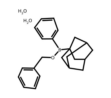 O.O.c1ccc(COB(c2ccccc2)C23CC4CC(CC(C4)C2)C3)cc1